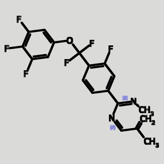 C=C(C)/C=N\C(=N/C)c1ccc(C(F)(F)Oc2cc(F)c(F)c(F)c2)c(F)c1